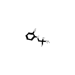 CC(F)(F)COc1cc[c]cc1Cl